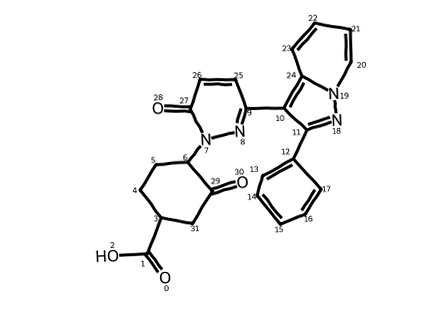 O=C(O)C1CCC(n2nc(-c3c(-c4ccccc4)nn4ccccc34)ccc2=O)C(=O)C1